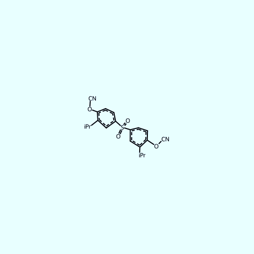 CC(C)c1cc(S(=O)(=O)c2ccc(OC#N)c(C(C)C)c2)ccc1OC#N